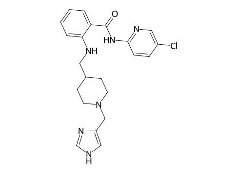 O=C(Nc1ccc(Cl)cn1)c1ccccc1NCC1CCN(Cc2c[nH]cn2)CC1